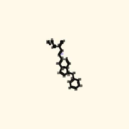 NOC(=O)/C=C/c1ccc2c(ccn2Cc2ccccc2)c1